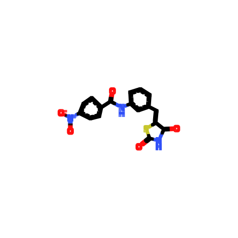 O=C1NC(=O)C(=Cc2cccc(NC(=O)c3ccc([N+](=O)[O-])cc3)c2)S1